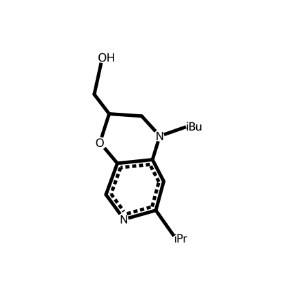 CCC(C)N1CC(CO)Oc2cnc(C(C)C)cc21